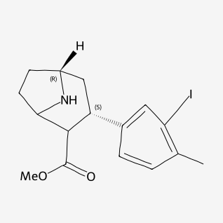 COC(=O)C1C2CC[C@H](C[C@@H]1c1ccc(C)c(I)c1)N2